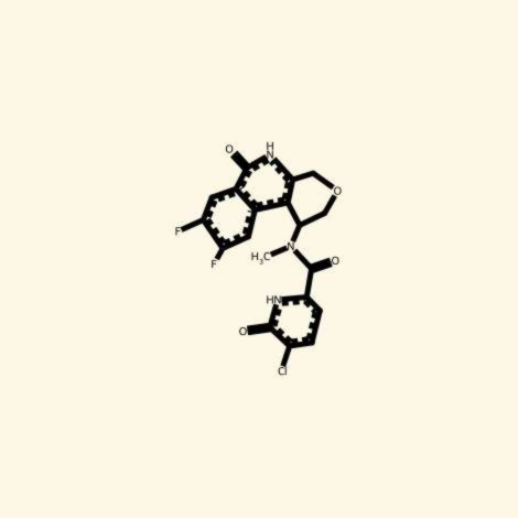 CN(C(=O)c1ccc(Cl)c(=O)[nH]1)C1COCc2[nH]c(=O)c3cc(F)c(F)cc3c21